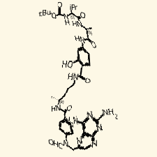 CC(C)[C@H](NC(=O)OC(C)(C)C)C(=O)N[C@@H](C)C(=O)Nc1ccc(C(=O)NCCC[C@@H](C)NC(=O)c2ccc(N(C=O)Cc3cnc4nc(N)nc(N)c4n3)cc2)c(O)c1